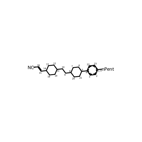 CCCCCc1ccc(C2CCC(CCC3CCC(C=CC#N)CC3)CC2)cc1